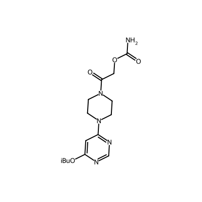 CC(C)COc1cc(N2CCN(C(=O)COC(N)=O)CC2)ncn1